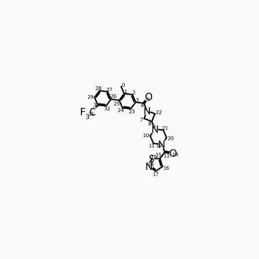 Cc1cc(C(=O)N2CC(N3CCN(C(=O)c4ccns4)CC3)C2)ccc1-c1cccc(C(F)(F)F)c1